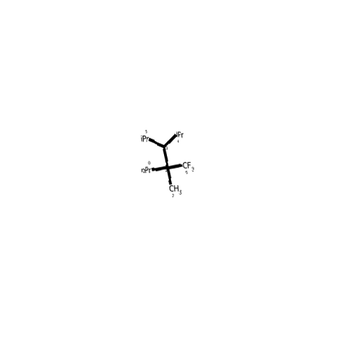 CCCC(C)(C(C(C)C)C(C)C)C(F)(F)F